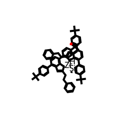 C[SiH](C)[Zr]([CH]1C(CCc2ccccc2)=Cc2c(-c3ccc(C(C)(C)C)cc3)ccc(-c3ccc(C(C)(C)C)cc3)c21)[CH]1C(CCc2ccccc2)=Cc2c(-c3ccc(C(C)(C)C)cc3)ccc(-c3ccc(C(C)(C)C)cc3)c21